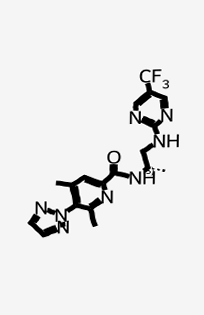 Cc1cc(C(=O)N[C@@H](C)CNc2ncc(C(F)(F)F)cn2)nc(C)c1-n1nccn1